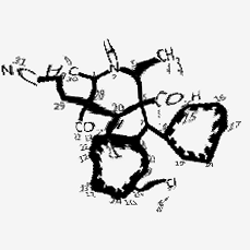 CC1NC(C)C(C(=O)O)(C(c2ccccc2)c2ccccc2)C(c2cccc(Cl)c2)C1(CCC#N)C(=O)O